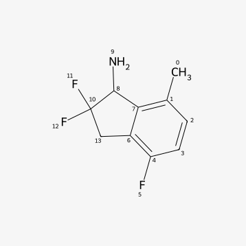 Cc1ccc(F)c2c1C(N)C(F)(F)C2